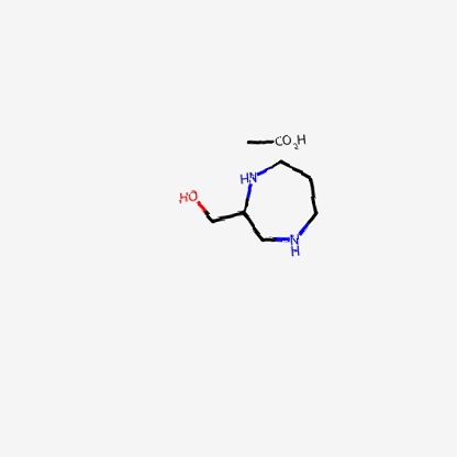 CC(=O)O.OCC1CNCCCN1